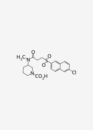 CN(C(=O)CCS(=O)(=O)c1ccc2cc(Cl)ccc2c1)C1CCCN(C(=O)O)C1